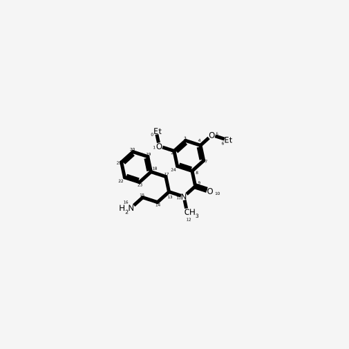 CCOc1cc(OCC)cc(C(=O)N(C)C(CCN)Cc2ccccc2)c1